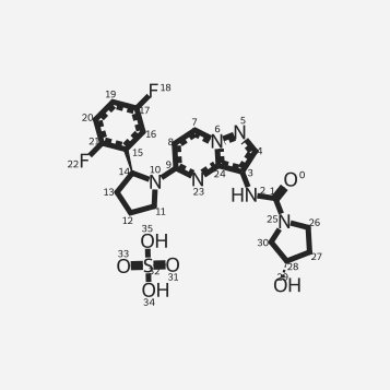 O=C(Nc1cnn2ccc(N3CCC[C@H]3c3cc(F)ccc3F)nc12)N1CC[C@H](O)C1.O=S(=O)(O)O